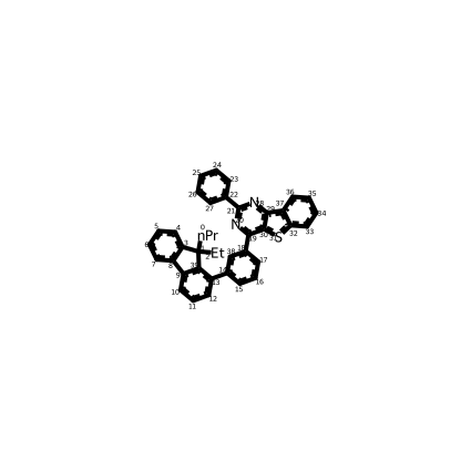 CCCC1(CC)c2ccccc2-c2cccc(-c3cccc(-c4nc(-c5ccccc5)nc5c4sc4ccccc45)c3)c21